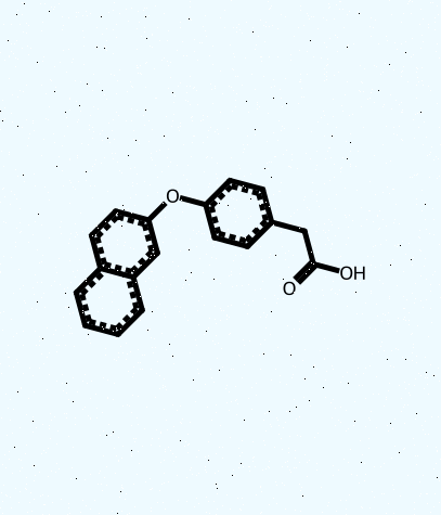 O=C(O)Cc1ccc(Oc2ccc3ccccc3c2)cc1